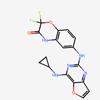 O=C1Nc2cc(Nc3nc(NC4CC4)c4occc4n3)ccc2OC1(F)F